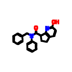 O=C(C1CCc2ccc(O)nc21)N(Cc1ccccc1)c1ccccc1